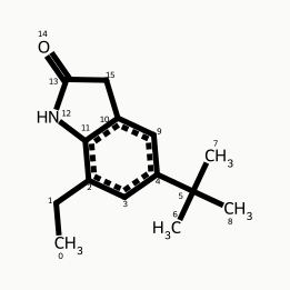 CCc1cc(C(C)(C)C)cc2c1NC(=O)C2